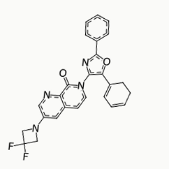 O=c1c2ncc(N3CC(F)(F)C3)cc2ccn1-c1nc(-c2ccccc2)oc1C1=CC=CCC1